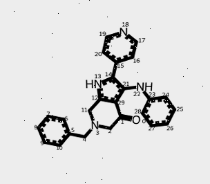 O=C1CN(Cc2ccccc2)Cc2[nH]c(-c3ccncc3)c(Nc3ccccc3)c21